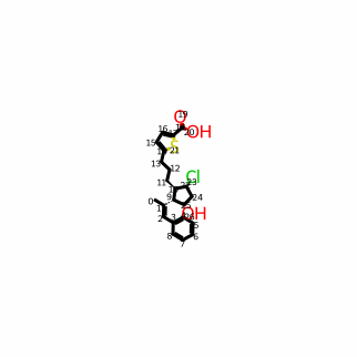 C/C(=C/c1ccccc1)[C@@H]1[C@@H](CCCc2ccc(C(=O)O)s2)[C@H](Cl)C[C@H]1O